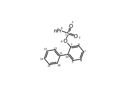 CCCS(=O)(=O)Oc1ccccc1-c1ccccc1